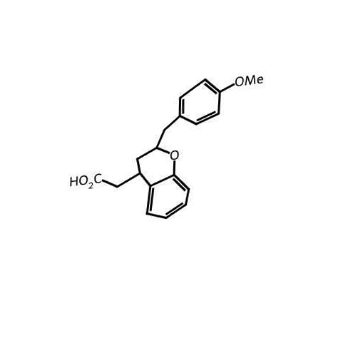 COc1ccc(CC2CC(CC(=O)O)c3ccccc3O2)cc1